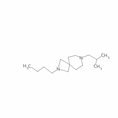 CCCCN1CC2(CCN(CC(C)C)CC2)C1